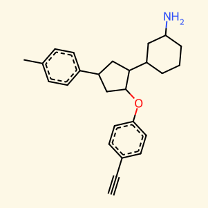 C#Cc1ccc(OC2CC(c3ccc(C)cc3)CC2C2CCCC(N)C2)cc1